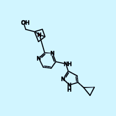 OCC12CC(C1)N(c1nccc(Nc3cc(C4CC4)[nH]n3)n1)C2